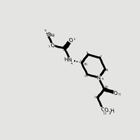 CC(C)(C)OC(=O)N[C@@H]1CCCN(C(=O)CC(=O)O)C1